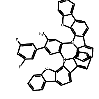 Fc1cc(F)cc(-c2cc(-n3c4ccccc4c4ccc5c6ccccc6oc5c43)c(-n3c4ccccc4c4ccc5c6ccccc6oc5c43)cc2C(F)(F)F)c1